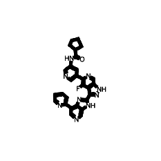 O=C(Nc1cncc(-c2ncc3[nH]nc(-c4nc5c(-c6ccccn6)cncc5[nH]4)c3c2F)c1)C1CCCC1